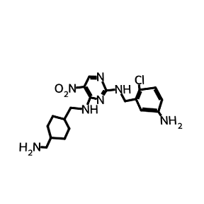 NCC1CCC(CNc2nc(NCc3cc(N)ccc3Cl)ncc2[N+](=O)[O-])CC1